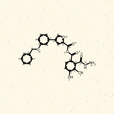 N#Cc1c(O)ccc(C(=O)OC(=O)c2cc(-c3cccc(OCc4ccccc4)c3)co2)c1C(=O)NN